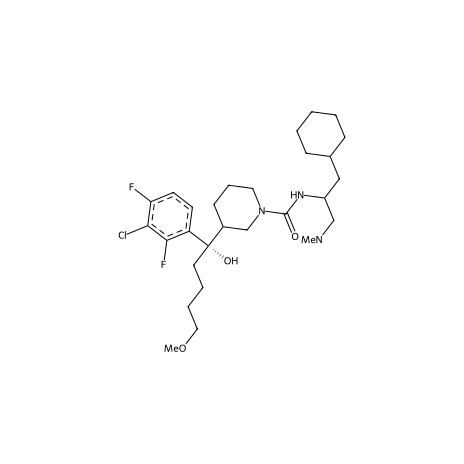 CNCC(CC1CCCCC1)NC(=O)N1CCCC([C@@](O)(CCCCOC)c2ccc(F)c(Cl)c2F)C1